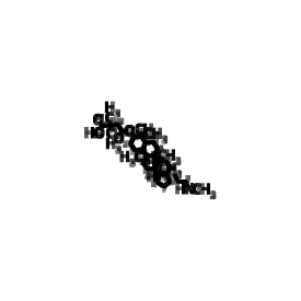 CNCCC[C@]12CCC[C@@H]1[C@H]1CCC3[C@@]4(C)CC[C@H](OC(=O)CC(C)(C)C(=O)O)C(C)(C)C4CC[C@@]3(C)[C@]1(C)CC2